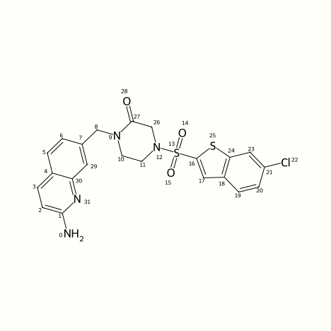 Nc1ccc2ccc(CN3CCN(S(=O)(=O)c4cc5ccc(Cl)cc5s4)CC3=O)cc2n1